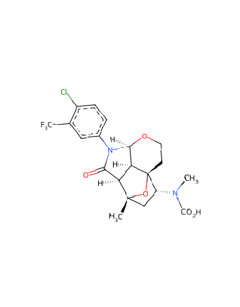 CN(C(=O)O)[C@@H]1C[C@@]2(C)O[C@@]13CCO[C@H]1[C@@H]3[C@@H]2C(=O)N1c1ccc(Cl)c(C(F)(F)F)c1